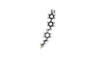 CCc1ccc(-c2ccc(CC[C@H]3CC[C@H](C=CCCF)CC3)cc2)cc1